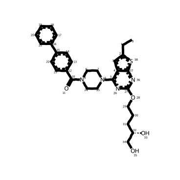 CCc1cc2c(N3CCN(C(=O)c4ccc(-c5ccccc5)cc4)CC3)nc(OCCC[C@H](O)CO)nc2s1